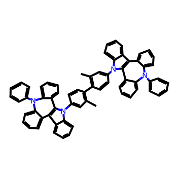 Cc1cc(-n2c3c(c4ccccc42)-c2ccccc2N(c2ccccc2)c2ccccc2-3)ccc1-c1ccc(-n2c3c(c4ccccc42)-c2ccccc2N(c2ccccc2)c2ccccc2-3)cc1C